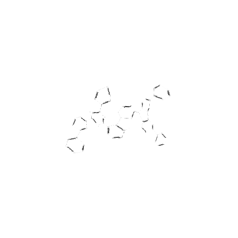 C1=CC(n2c3ccc(-c4ccccc4)cc3c3cc(-c4ccccc4)ccc32)=C2Oc3cccc(-c4nc(-c5ccccc5)nc(-c5cccc(-c6ccccc6)c5)n4)c3C2C1